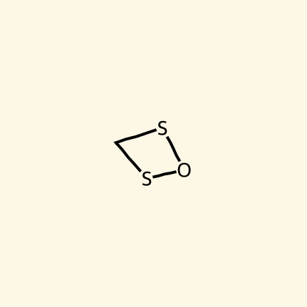 C1SOS1